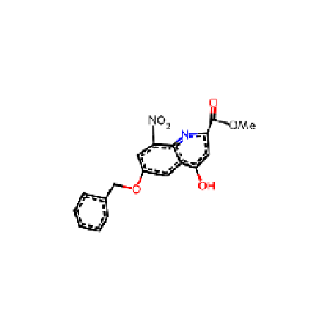 COC(=O)c1cc(O)c2cc(OCc3ccccc3)cc([N+](=O)[O-])c2n1